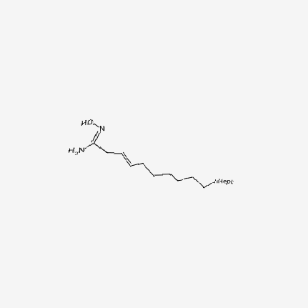 CCCCCCCCCCCCCC=CCC(N)=NO